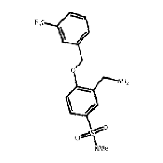 CNS(=O)(=O)c1ccc(OCc2cccc(C(F)(F)F)c2)c(CN)c1